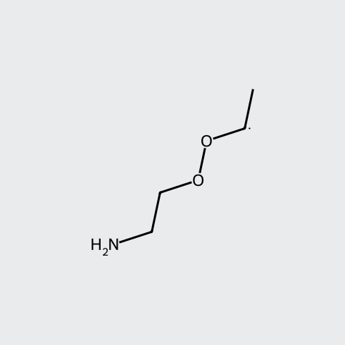 C[CH]OOCCN